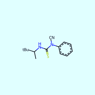 CC(NC(=S)N(C#N)c1ccccc1)C(C)(C)C